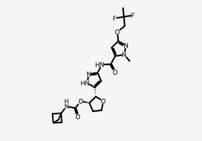 Cn1nc(OCC(C)(F)F)cc1C(=O)Nc1cc([C@@H]2OCC[C@H]2OC(=O)NC23CC(C2)C3)[nH]n1